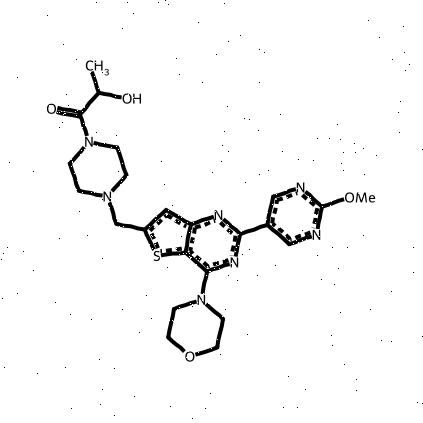 COc1ncc(-c2nc(N3CCOCC3)c3sc(CN4CCN(C(=O)C(C)O)CC4)cc3n2)cn1